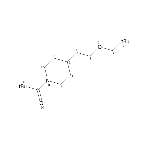 CC(C)(C)COCCC1CCN(C(=O)C(C)(C)C)CC1